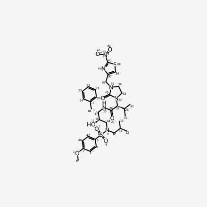 COc1ccc(S(=O)(=O)N(CC(C)C)C[C@@H](O)[C@H](Cc2ccccc2)NC(=O)[C@H](C(C)C)N2CCN(Cc3csc([N+](=O)[O-])n3)C2=O)cc1